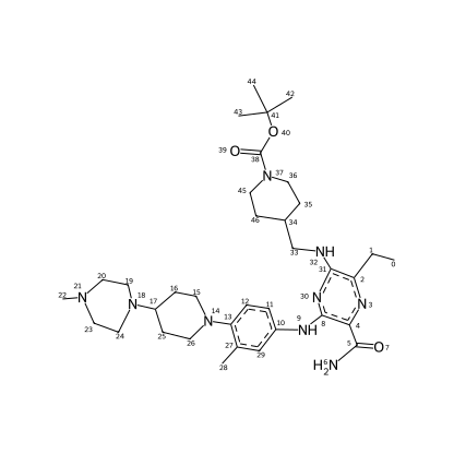 CCc1nc(C(N)=O)c(Nc2ccc(N3CCC(N4CCN(C)CC4)CC3)c(C)c2)nc1NCC1CCN(C(=O)OC(C)(C)C)CC1